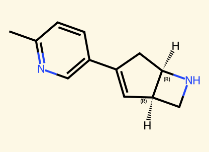 Cc1ccc(C2=C[C@@H]3CN[C@@H]3C2)cn1